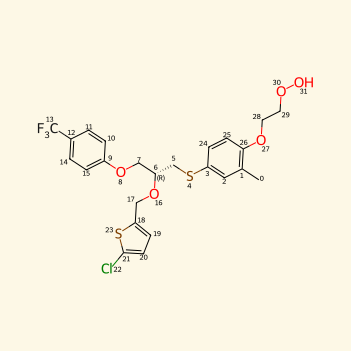 Cc1cc(SC[C@@H](COc2ccc(C(F)(F)F)cc2)OCc2ccc(Cl)s2)ccc1OCCOO